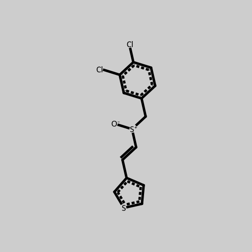 [O-][S+](C=Cc1ccsc1)Cc1ccc(Cl)c(Cl)c1